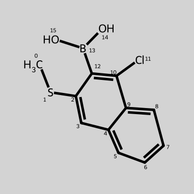 CSc1cc2ccccc2c(Cl)c1B(O)O